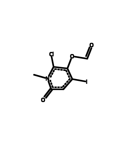 Cn1c(Cl)c(OC=O)c(I)cc1=O